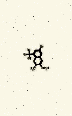 [2H]C([2H])([2H])c1cc(Br)cc2c1OC(C(F)(F)F)C(C(=O)O)=C2